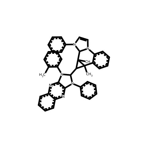 Cc1ccccc1N1c2nc3ccccc3nc2N(c2ccccc2)C1C1C2(C)c3ccccc3N3C=CN(c4ccccc4)C3C12C